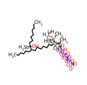 CCCCCCCCC(CCCCCC)[C](O)([SbH2])CCCCCCCC.CC[S+](C)C.CC[S+](C)C.O=N[O-].O=N[O-].O=N[O-].O=N[O-].O=N[O-].O=N[O-].[LiH]